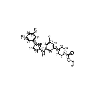 CCOC(=O)N1CCN(c2cc(C)cc(Nc3ncn(-c4cc(F)cc(F)c4)n3)c2)CC1